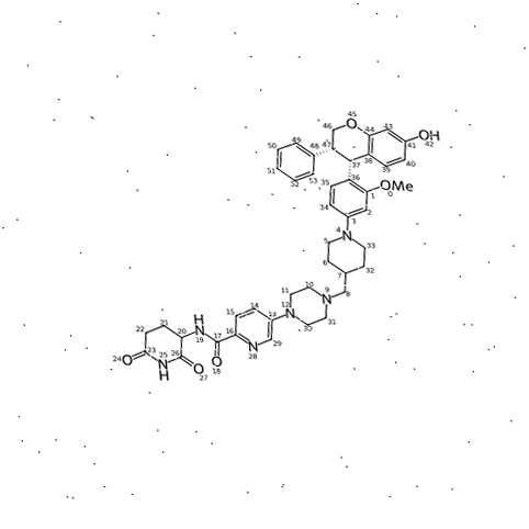 COc1cc(N2CCC(CN3CCN(c4ccc(C(=O)NC5CCC(=O)NC5=O)nc4)CC3)CC2)ccc1[C@H]1c2ccc(O)cc2OC[C@H]1c1ccccc1